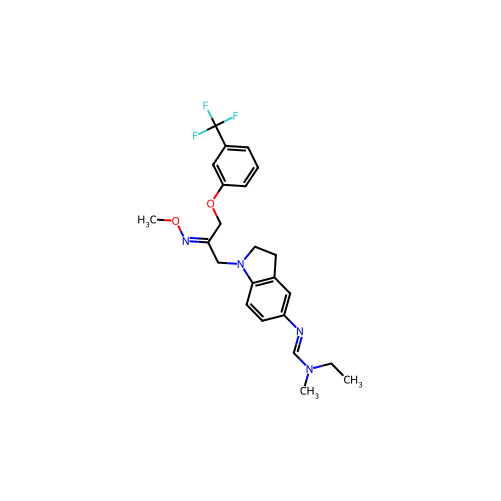 CCN(C)/C=N/c1ccc2c(c1)CCN2C/C(COc1cccc(C(F)(F)F)c1)=N/OC